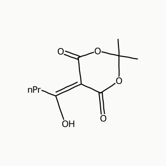 CCCC(O)=C1C(=O)OC(C)(C)OC1=O